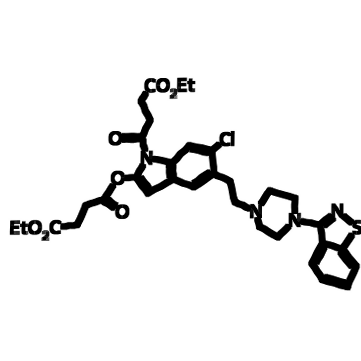 CCOC(=O)CCC(=O)Oc1cc2cc(CCN3CCN(c4nsc5ccccc45)CC3)c(Cl)cc2n1C(=O)CCC(=O)OCC